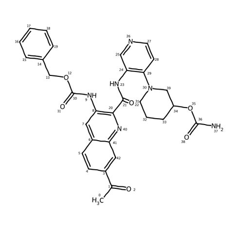 CC(=O)c1ccc2cc(NC(=O)OCc3ccccc3)c(C(=O)Nc3cnccc3N3CCCC(OC(N)=O)C3)nc2c1